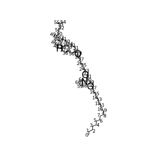 CCCCCCCC/C=C\CCCCCCCCOC[C@H](COCCCCCCOC1CC[C@@]2(C)C(=CC[C@@H]3C2CC[C@@]2(C)C3CC[C@@H]2[C@H](C)CCCC(C)C)C1)N1CCCC1